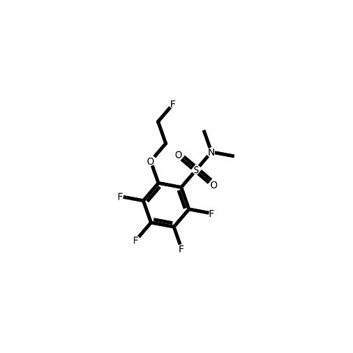 CN(C)S(=O)(=O)c1c(F)c(F)c(F)c(F)c1OCCF